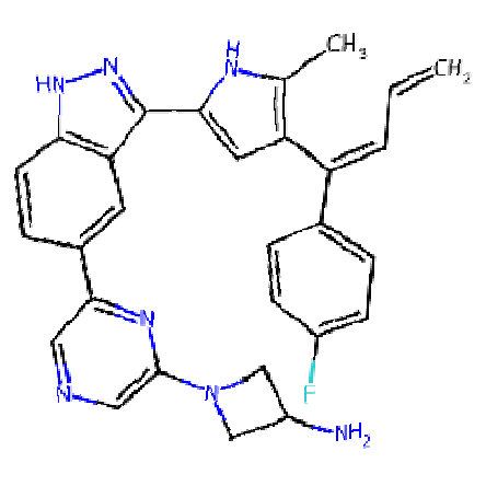 C=C/C=C(/c1ccc(F)cc1)c1cc(-c2n[nH]c3ccc(-c4cncc(N5CC(N)C5)n4)cc23)[nH]c1C